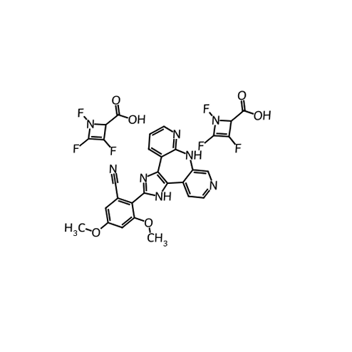 COc1cc(C#N)c(-c2nc3c([nH]2)-c2ccncc2Nc2ncccc2-3)c(OC)c1.O=C(O)C1C(F)=C(F)N1F.O=C(O)C1C(F)=C(F)N1F